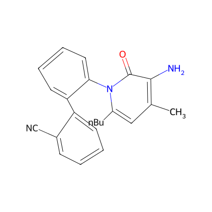 CCCCc1cc(C)c(N)c(=O)n1-c1ccccc1-c1ccccc1C#N